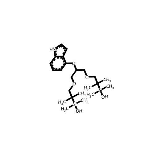 CC(C)(COCC(COCC(C)(C)[Si](C)(C)O)Oc1cccc2[nH]ccc12)[Si](C)(C)O